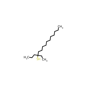 CCCCCCCCCCCC(S)(CC)CCC